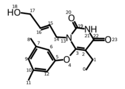 CCc1c(Oc2cc(C)cc(C)c2)n(CC=CCO)c(=O)[nH]c1=O